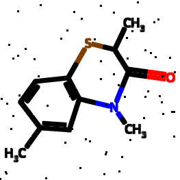 Cc1ccc2c(c1)N(C)C(=O)C(C)S2